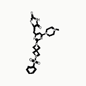 CN1CCN(c2cc(/C=C3/SC(=O)NC3=O)nc(N3CC4(C3)CN(S(=O)(=O)c3ccccc3)C4)n2)CC1